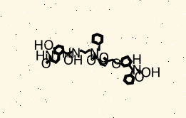 O=C(O)NC(c1ccccc1)c1cccc(OCc2ccc(C(=O)N(CCCNC[C@@H](O)c3ccc(O)c4[nH]c(=O)ccc34)Cc3ccccc3)o2)c1